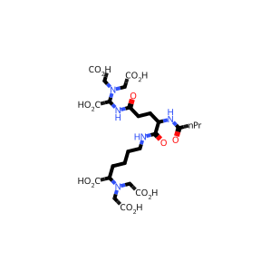 CCCC(=O)NC(CCC(=O)NC(C(=O)O)N(CC(=O)O)CC(=O)O)C(=O)NCCCCC(C(=O)O)N(CC(=O)O)CC(=O)O